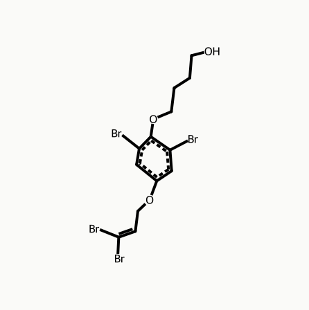 OCCCCOc1c(Br)cc(OCC=C(Br)Br)cc1Br